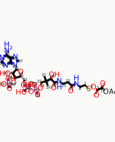 CC(=O)OC(=O)C(=O)OSCCNC(=O)CCNC(=O)C(O)C(C)(C)COP(=O)(O)OP(=O)(O)OC[C@H]1O[C@@H](n2cnc3c(N)ncnc32)[C@H](O)[C@@H]1OP(=O)(O)O